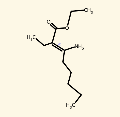 CCCCC/C(N)=C(\CC)C(=O)OCC